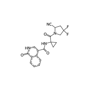 N#CC1CC(F)(F)CN1C(=O)C1(NC(=O)c2c[nH]c(=O)c3ccccc23)CC1